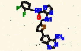 Nc1ncnc2ccc(-c3ccc(CNc4nccnc4C(=O)NCc4cccc(F)c4F)s3)cc12